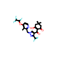 Cc1c(OC(F)C(F)F)ccnc1Cn1cc(C(=O)C2=C(O)CC(C)(C)CC2=O)c(C(F)F)n1